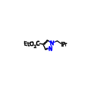 CCOC(=O)c1cnn(CC(C)C)c1